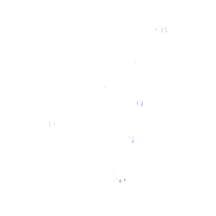 CCOC1=Nc2c(C)cc(C)nc2[N]1